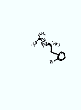 Cl.NC(N)=NN=CCc1ccccc1Br